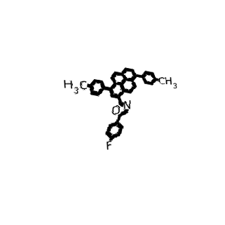 Cc1ccc(-c2ccc3ccc4c(-c5ccc(C)cc5)cc(-c5ncc(-c6ccc(F)cc6)o5)c5ccc2c3c45)cc1